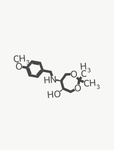 COc1ccc(CN[C@H]2COC(C)(C)OC[C@@H]2O)cc1